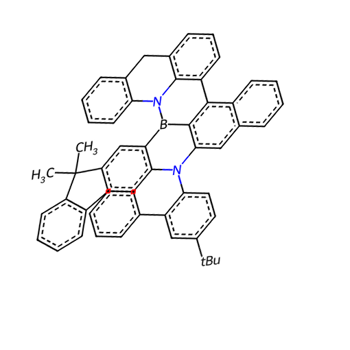 CC(C)(C)c1ccc(N2c3cc4c(cc3B3c5c2cc2ccccc2c5-c2cccc5c2N3c2ccccc2C5)C(C)(C)c2ccccc2-4)c(-c2ccccc2)c1